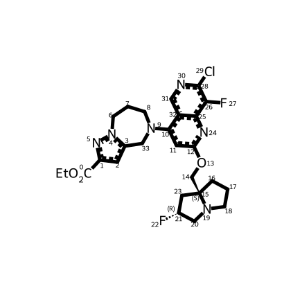 CCOC(=O)c1cc2n(n1)CCCN(c1cc(OC[C@@]34CCCN3C[C@H](F)C4)nc3c(F)c(Cl)ncc13)C2